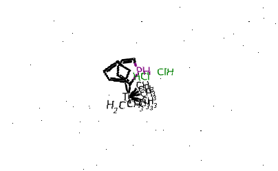 Cl.Cl.[CH2]=[Ti]([CH3])([CH3])([CH3])([CH3])([CH3])([CH3])([CH3])([C]1=CC=CC1)[c]1ccc[pH]1